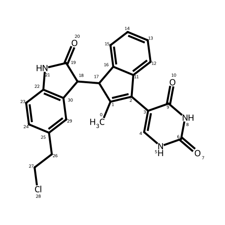 CC1=C(c2c[nH]c(=O)[nH]c2=O)c2ccccc2C1C1C(=O)Nc2ccc(CCCl)cc21